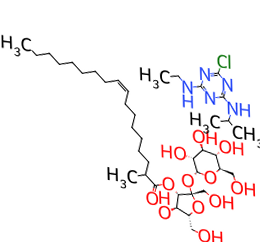 CCCCCCCC/C=C\CCCCCCC(C)C(=O)O[C@H]1[C@H](O)[C@@H](CO)O[C@@]1(CO)O[C@H]1O[C@H](CO)[C@@H](O)[C@H](O)[C@H]1O.CCNc1nc(Cl)nc(NC(C)C)n1